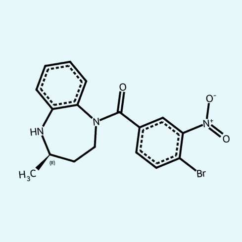 C[C@@H]1CCN(C(=O)c2ccc(Br)c([N+](=O)[O-])c2)c2ccccc2N1